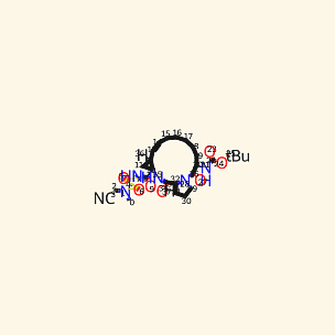 CN(CC#N)S(=O)(=O)NC(=O)[C@@]12C[C@H]1/C=C\CCCCC[C@H](NC(=O)OC(C)(C)C)C(=O)N1CCC[C@H]1C(=O)N2